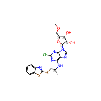 COC[C@@H]1O[C@H](n2cnc3c(N[C@H](C)CSc4nc5ccccc5s4)nc(Cl)nc32)[C@@H](O)[C@H]1O